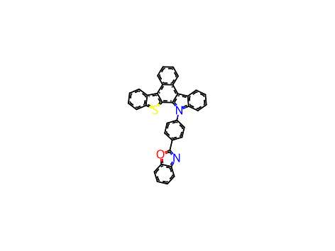 c1ccc2oc(-c3ccc(-n4c5ccccc5c5c6ccccc6c6c7ccccc7sc6c54)cc3)nc2c1